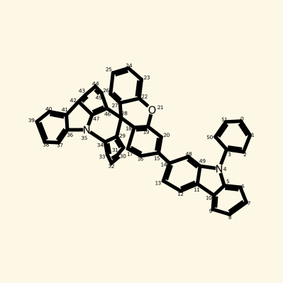 c1ccc(-n2c3ccccc3c3ccc(-c4ccc5c(c4)Oc4ccccc4C54c5ccccc5-n5c6ccccc6c6cccc4c65)cc32)cc1